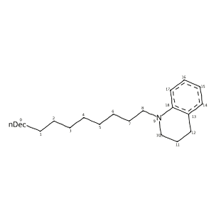 CCCCCCCCCCCCCCCCCCN1[C]CCc2ccccc21